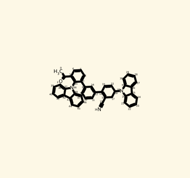 CC(=O)c1cccc(-c2cccc(C3=C(C#N)CC(n4c5ccccc5c5ccccc54)C=C3)c2)c1-n1c2ccccc2c2ccccc21